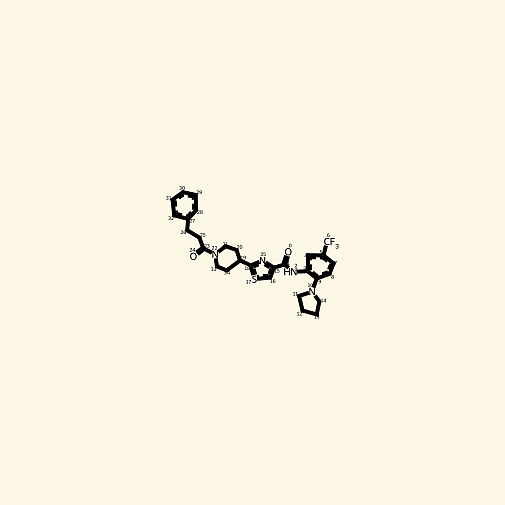 O=C(Nc1cc(C(F)(F)F)ccc1N1CCCC1)c1csc(C2CCN(C(=O)CCc3ccccc3)CC2)n1